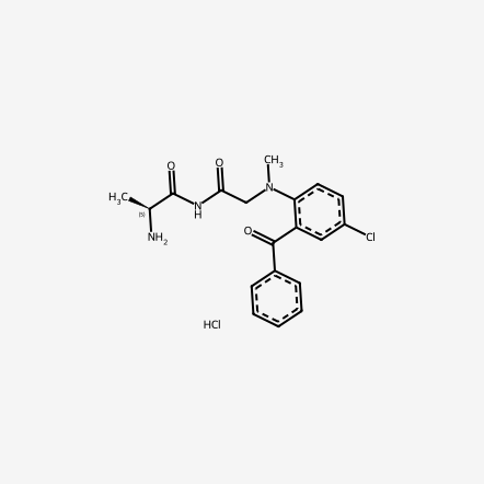 C[C@H](N)C(=O)NC(=O)CN(C)c1ccc(Cl)cc1C(=O)c1ccccc1.Cl